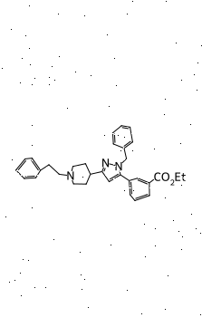 CCOC(=O)c1cccc(-c2cc(C3CCN(CCc4ccccc4)CC3)nn2Cc2ccccc2)c1